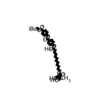 CCC(C)COC(=O)c1ccc(OC(=O)c2ccc(OC(O)CCCCCCCCCCCOC(=O)C(C)(CO)CO)cc2)cc1